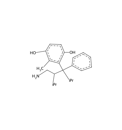 Cc1c(O)ccc(O)c1C(c1ccccc1)(C(C)C)C(CN)C(C)C